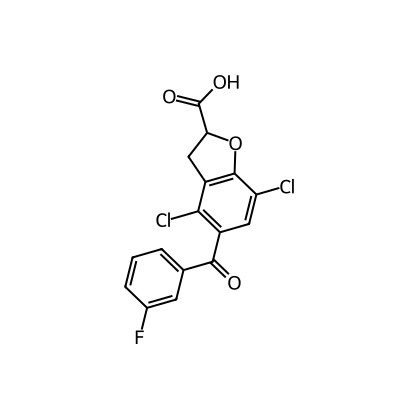 O=C(c1cccc(F)c1)c1cc(Cl)c2c(c1Cl)CC(C(=O)O)O2